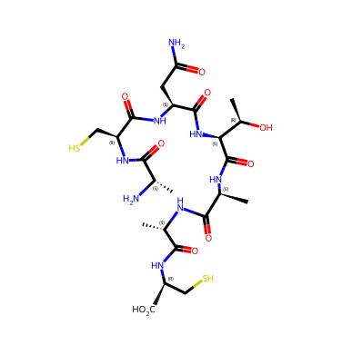 C[C@H](N)C(=O)N[C@@H](CS)C(=O)N[C@@H](CC(N)=O)C(=O)N[C@H](C(=O)N[C@@H](C)C(=O)N[C@@H](C)C(=O)N[C@@H](CS)C(=O)O)[C@@H](C)O